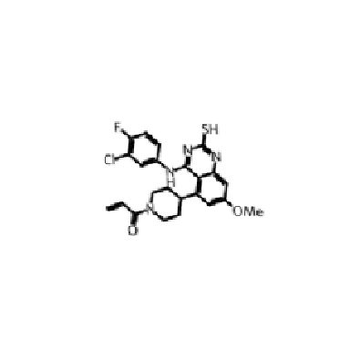 C=CC(=O)N1CCC(c2cc(OC)cc3nc(S)nc(Nc4ccc(F)c(Cl)c4)c23)CC1